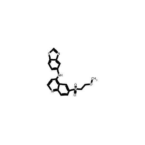 COCCS(=O)(=O)c1ccc2nccc(Nc3ccc4scnc4c3)c2c1